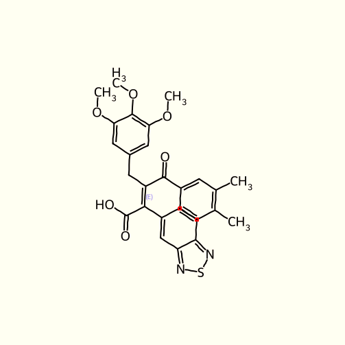 COc1cc(C/C(C(=O)c2ccc(C)c(C)c2)=C(\C(=O)O)c2ccc3nsnc3c2)cc(OC)c1OC